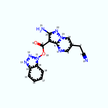 N#CCc1cnc2c(C(=O)On3nnc4ccccc43)c(N)nn2c1